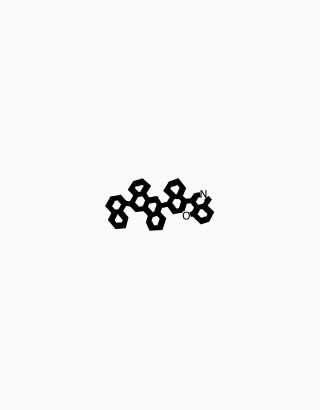 c1ccc2c(-c3cc4c5ccccc5c(-c5cc6c(c7ccccc57)-c5cncc7cccc(c57)O6)cc4c4ccccc34)cccc2c1